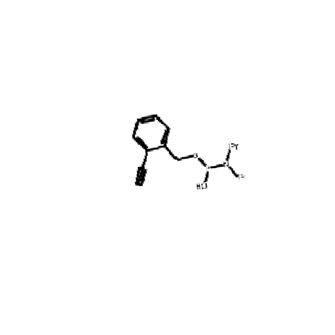 C#Cc1ccccc1COP(O)N(C(C)C)C(C)C